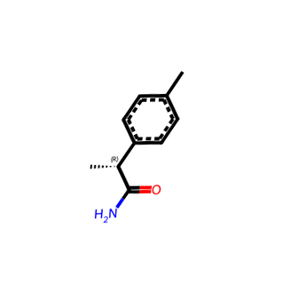 Cc1ccc([C@@H](C)C(N)=O)cc1